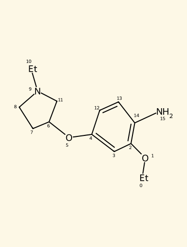 CCOc1cc(OC2CCN(CC)C2)ccc1N